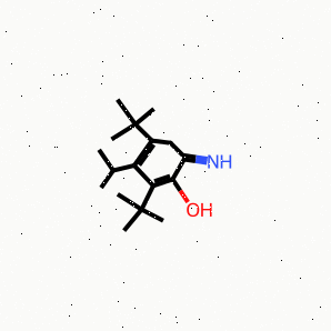 CC(C)C1=C(C(C)(C)C)CC(=N)C(O)=C1C(C)(C)C